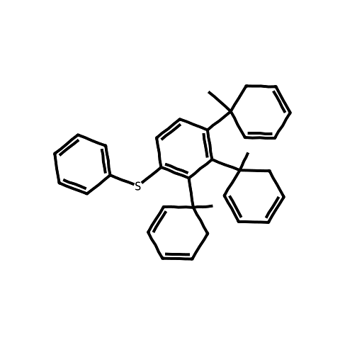 CC1(c2ccc(Sc3ccccc3)c(C3(C)C=CC=CC3)c2C2(C)C=CC=CC2)C=CC=CC1